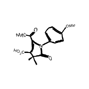 COC(=O)C1=C(C(=O)O)C(C)(C)C(=O)N1c1ccc(OC)cc1